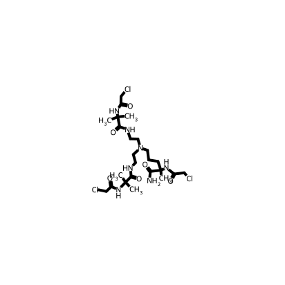 CC(C)(NC(=O)CCl)C(=O)NCCN(CCCC(C)(NC(=O)CCl)C(N)=O)CCNC(=O)C(C)(C)NC(=O)CCl